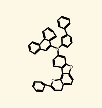 C1=C(c2ccccc2)Oc2c(ccc3oc4cc(N(c5cccc(-c6ccccc6)c5)c5cc6ccccc6c6ccccc56)ccc4c23)C1